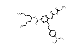 CCCCC(CCCC)OC(=O)c1cnc(OC(=O)NC(=O)CN)c(OCc2ccc(C(C)C)cc2)c1